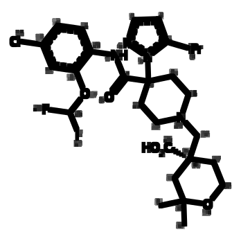 CC(C)c1ccnn1C1(C(=O)Nc2ccc(Cl)cc2OC(F)F)CCN(C[C@@]2(C(=O)O)CCOC(C)(C)C2)CC1